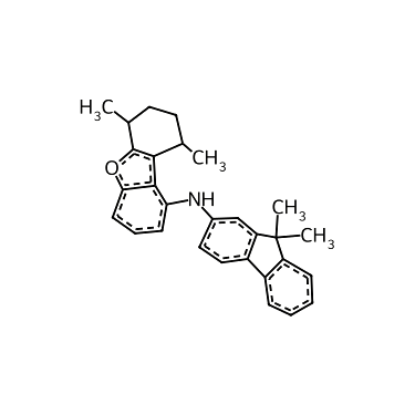 CC1CCC(C)c2c1oc1cccc(Nc3ccc4c(c3)C(C)(C)c3ccccc3-4)c21